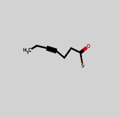 CCC#CCCC(=O)[S]